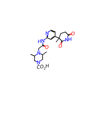 CC1CN(C(=O)O)CC(C)N1CC(=O)Nc1cc(C2(C)CCC(=O)NC2=O)ccn1